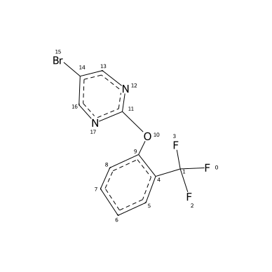 FC(F)(F)c1ccccc1Oc1ncc(Br)cn1